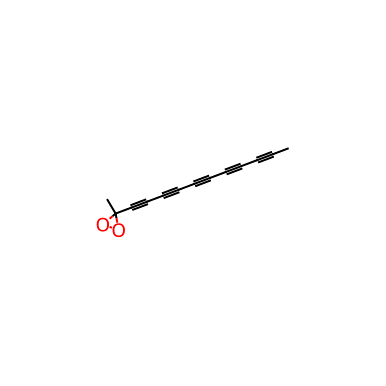 CC#CC#CC#CC#CC#CC1(C)OO1